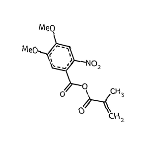 C=C(C)C(=O)OC(=O)c1cc(OC)c(OC)cc1[N+](=O)[O-]